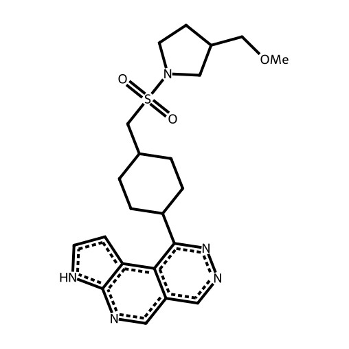 COCC1CCN(S(=O)(=O)CC2CCC(c3nncc4cnc5[nH]ccc5c34)CC2)C1